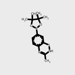 CC1=Nc2ccc(B3OC(C)(C)C(C)(C)O3)cc2SN1